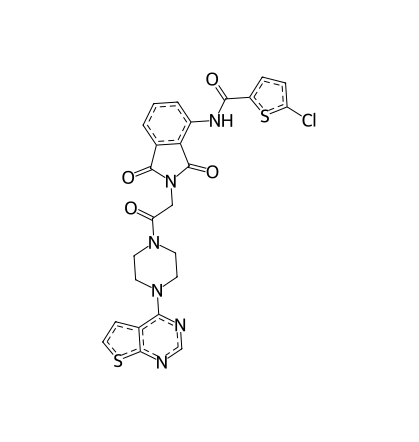 O=C(Nc1cccc2c1C(=O)N(CC(=O)N1CCN(c3ncnc4sccc34)CC1)C2=O)c1ccc(Cl)s1